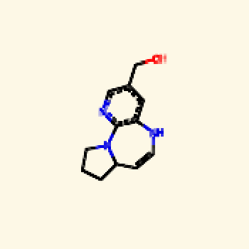 OCc1cnc2c(c1)NC=CC1CCCN21